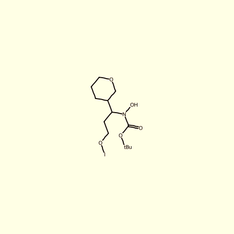 CC(C)(C)OC(=O)N(O)C(CCOI)C1CCCOC1